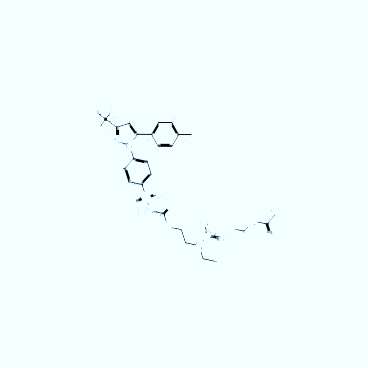 CCN(CCOC(=O)NS(=O)(=O)c1ccc(-n2nc(C(F)(F)F)cc2-c2ccc(C)cc2)cc1)[N+]([O-])=NOCOC(C)=O